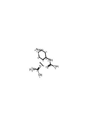 CC.NC(O)=S.OC(=S)NC1CCCCC1.[NaH]